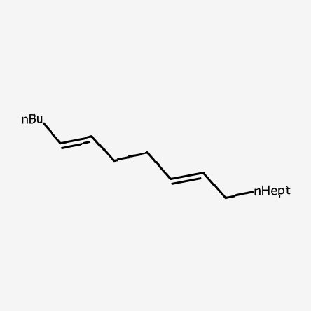 [CH2]CCCCCCCC=CCCC=CCCCC